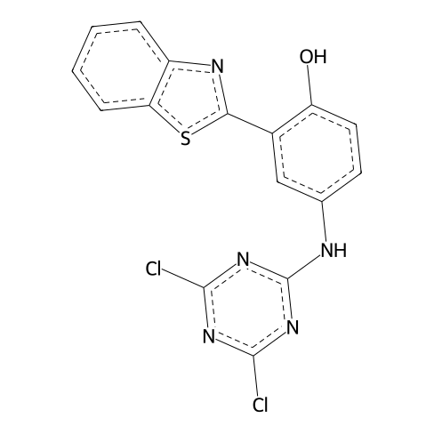 Oc1ccc(Nc2nc(Cl)nc(Cl)n2)cc1-c1nc2ccccc2s1